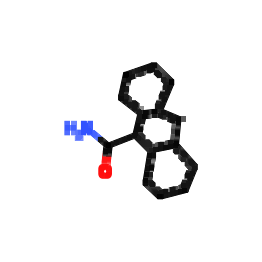 NC(=O)c1c2ccccc2[c]c2ccccc12